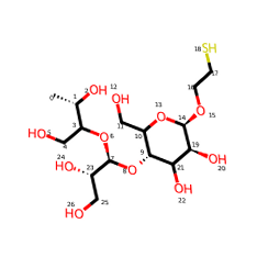 C[C@H](O)C(CO)O[C@@H](O[C@@H]1C(CO)O[C@@H](OCCS)[C@@H](O)C1O)[C@@H](O)CO